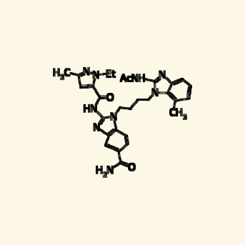 CCn1nc(C)cc1C(=O)Nc1nc2cc(C(N)=O)ccc2n1CCCCn1c(NC(C)=O)nc2cccc(C)c21